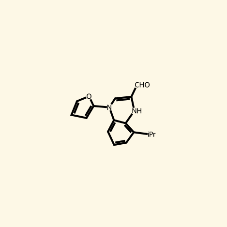 CC(C)c1cccc2c1NC(C=O)=CN2c1ccco1